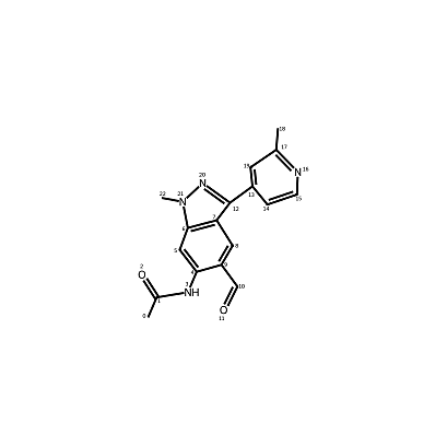 CC(=O)Nc1cc2c(cc1C=O)c(-c1ccnc(C)c1)nn2C